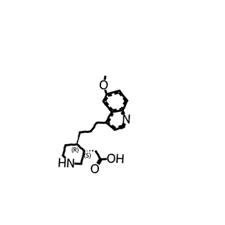 COc1ccc2nccc(CCC[C@@H]3CCNC[C@H]3CC(=O)O)c2c1